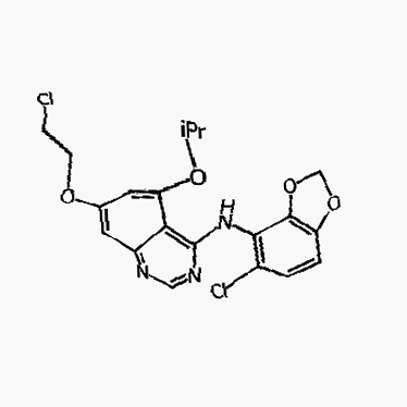 CC(C)Oc1cc(OCCCl)cc2ncnc(Nc3c(Cl)ccc4c3OCO4)c12